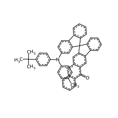 Cc1ccc(N(c2ccc(C(C)(C)C)cc2)c2ccc3c(c2)C2(c4ccccc4-3)c3ccccc3-c3cc4c(=O)c5ccccc5sc4cc32)cc1